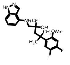 COc1cc(F)c(F)cc1C(C)(C)CC(O)(CNc1cccc2[nH]ncc12)C(F)(F)F